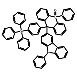 O=P1(c2ccccc2)c2ccccc2C(c2ccc([Si](c3ccccc3)(c3ccccc3)c3ccccc3)cc2)(c2ccc3c(c2)c2ccccc2n3-c2ccccc2)c2ccccc21